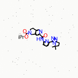 CC(C)OC(=O)N1CCc2cnc(C(=O)Nc3cccc(-c4nnc5n4C(C)(C)CC5)n3)cc2C1